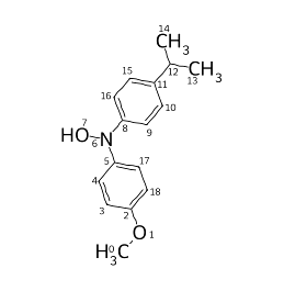 COc1ccc(N(O)c2ccc(C(C)C)cc2)cc1